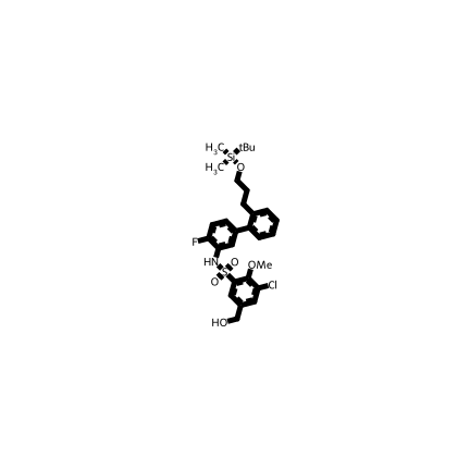 COc1c(Cl)cc(CO)cc1S(=O)(=O)Nc1cc(-c2ccccc2CCCO[Si](C)(C)C(C)(C)C)ccc1F